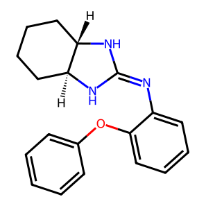 c1ccc(Oc2ccccc2N=C2N[C@H]3CCCC[C@@H]3N2)cc1